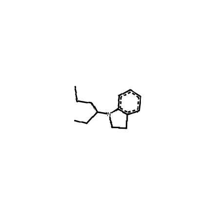 CCCC(CC)N1CCc2ccccc21